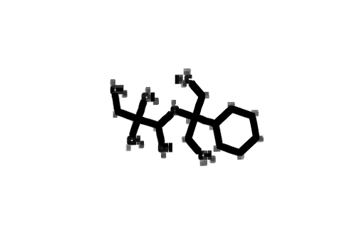 CCC(C)(C)C(O)OC(CC)(CC)C1CCCCC1